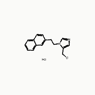 Cl.ClCc1cncn1CCc1ccc2ccccc2c1